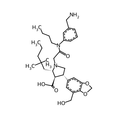 CCCCN(C(=O)CN1C[C@H](c2cc(CO)c3c(c2)OCO3)[C@@H](C(=O)O)[C@@H]1CC(C)(C)CCC)c1cccc(CN)c1